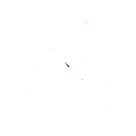 N[C@H]1CCC2COc3c(F)ccc(F)c3[C@@]2(S(=O)(=O)c2ccc(Cl)cc2)CC1